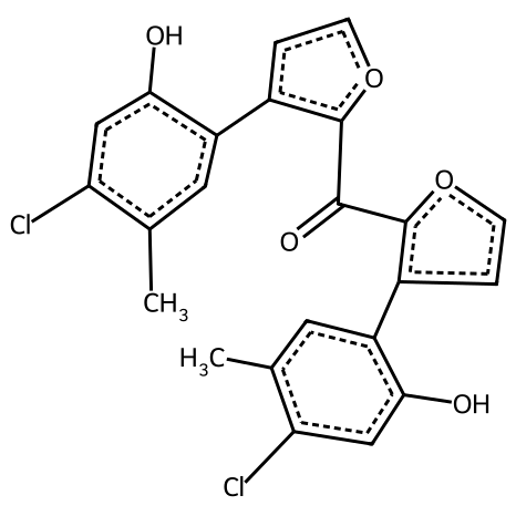 Cc1cc(-c2ccoc2C(=O)c2occc2-c2cc(C)c(Cl)cc2O)c(O)cc1Cl